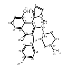 CCN(c1c(-c2ncco2)c2c(O)cocc-2c(=O)c1Cc1ccc(F)cc1)N1CCN(C)CC1